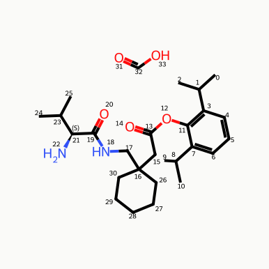 CC(C)c1cccc(C(C)C)c1OC(=O)CC1(CNC(=O)[C@@H](N)C(C)C)CCCCC1.O=CO